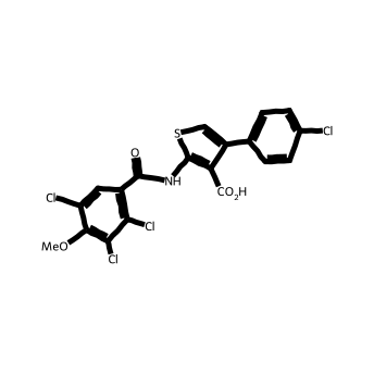 COc1c(Cl)cc(C(=O)Nc2scc(-c3ccc(Cl)cc3)c2C(=O)O)c(Cl)c1Cl